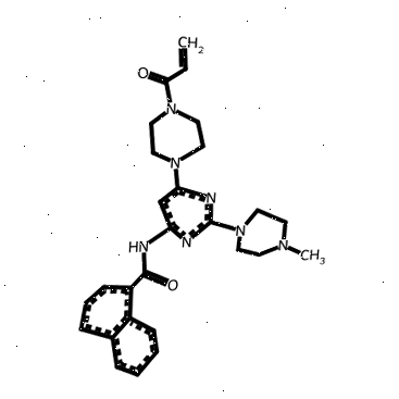 C=CC(=O)N1CCN(c2cc(NC(=O)c3cccc4ccccc34)nc(N3CCN(C)CC3)n2)CC1